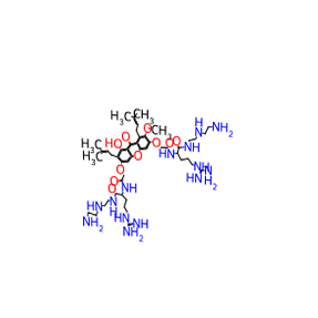 COc1c(OCC(=O)NC(CCCNC(=N)N)C(=O)NCCNCCN)cc2oc3cc(OCC(=O)NC(CCCNC(=N)N)C(=O)NCCNCCN)c(CC=C(C)C)c(O)c3c(=O)c2c1CC=C(C)C